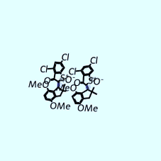 COc1ccc(OC)c2c1CC(C)(C)/C2=C1/C(=O)c2c(Cl)cc(Cl)cc2[S@+]1[O-].COc1ccc(OC)c2c1CC(C)(C)/C2=C1/C(=O)c2c(Cl)cc(Cl)cc2[S@+]1[O-]